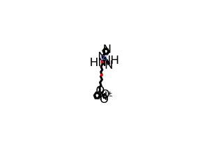 N#CN/C(=N\c1ccncc1)NCCCCCCCCCCOc1ccccc1[N+](=O)[O-]